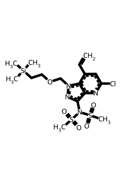 C=Cc1cc(Cl)nc2c(N(S(C)(=O)=O)S(C)(=O)=O)nn(COCC[Si](C)(C)C)c12